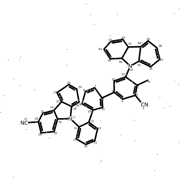 Cc1c(C#N)cc(-c2cccc(-c3ccccc3-n3c4ccccc4c4cc(C#N)ccc43)c2)cc1N1c2ccccc2C2C=CC=CC21